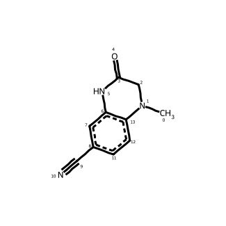 CN1CC(=O)Nc2cc(C#N)ccc21